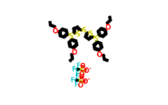 CCCOc1ccc([S+](c2ccc(OCCC)cc2)c2ccc(Sc3ccc([S+](c4ccc(OCCC)cc4)c4ccc(OCCC)cc4)s3)s2)cc1.O=S(=O)([O-])C(F)(F)F.O=S(=O)([O-])C(F)(F)F